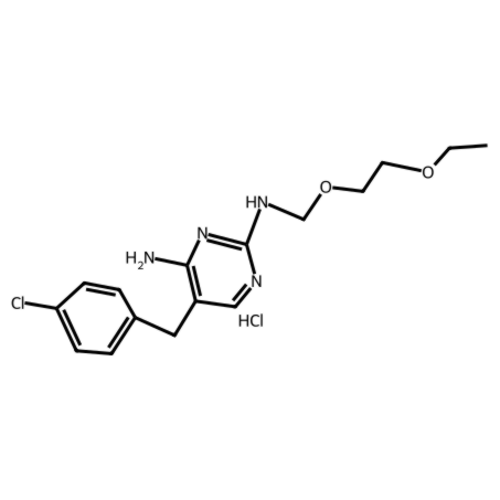 CCOCCOCNc1ncc(Cc2ccc(Cl)cc2)c(N)n1.Cl